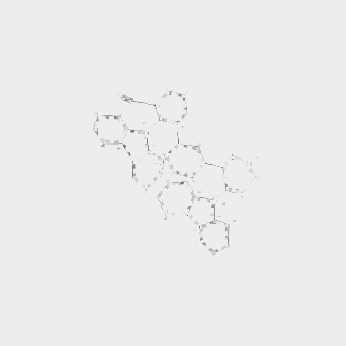 N#Cc1cccc(-c2cccc(-c3cnccc3-n3c4ccccc4c4ccccc43)c2)c1-n1c2ccccc2c2ccccc21